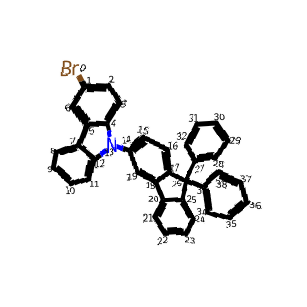 Brc1ccc2c(c1)c1ccccc1n2-c1ccc2c(c1)-c1ccccc1C2(c1ccccc1)c1ccccc1